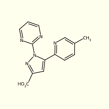 Cc1ccc(-c2cc(C(=O)O)nn2-c2ncccn2)nc1